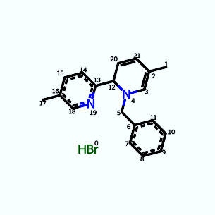 Br.CC1=CN(Cc2ccccc2)C(c2ccc(C)cn2)C=C1